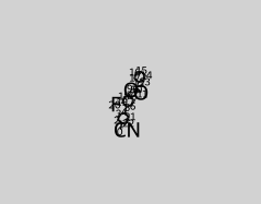 N#Cc1ccc(-c2ccc(OC(=O)c3ccccc3)cc2F)cc1